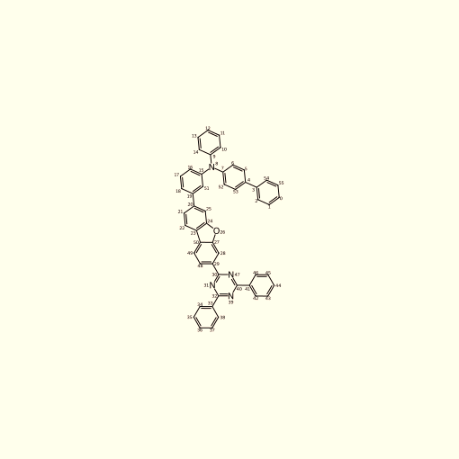 c1ccc(-c2ccc(N(c3ccccc3)c3cccc(-c4ccc5c(c4)oc4cc(-c6nc(-c7ccccc7)nc(-c7ccccc7)n6)ccc45)c3)cc2)cc1